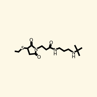 CCSC1CC(=O)N(CCC(=O)NCCCNC(C)(C)C)C1=O